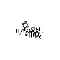 C[C@H](C(=O)ONC(=O)c1ncc(Cl)cc1N)C1CCCCC1